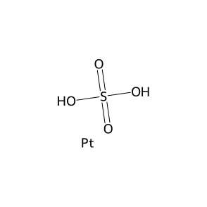 O=S(=O)(O)O.[Pt]